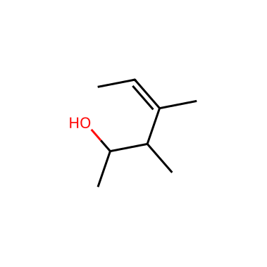 CC=C(C)C(C)C(C)O